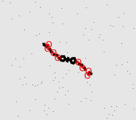 C=CC(=O)OCCOCCOC1CCC(C(C)(C)C2CCC(OCCOCCOC(C)=O)CC2)CC1